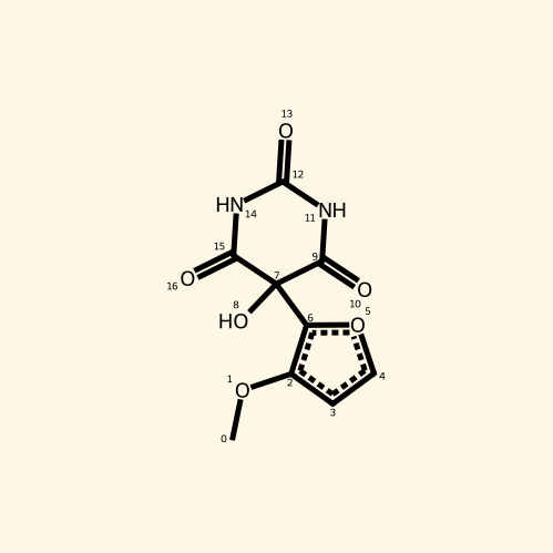 COc1ccoc1C1(O)C(=O)NC(=O)NC1=O